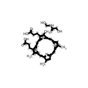 CC1=Cc2cc3[nH]c(cc4nc(cc5[nH]c(cc1n2)c(C)c5CCC(=O)O)C(CCC(=O)O)=C4C)cc3C.O=C(CO)NCO